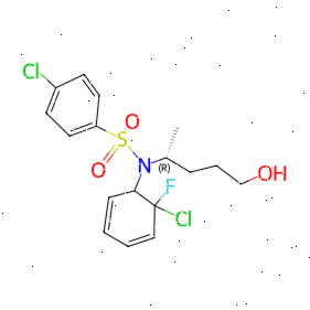 C[C@H](CCCO)N(C1C=CC=CC1(F)Cl)S(=O)(=O)c1ccc(Cl)cc1